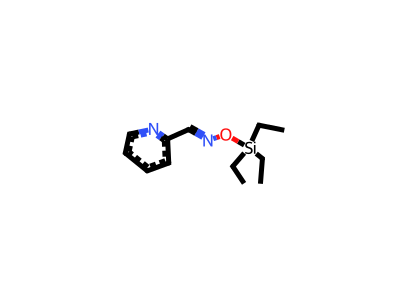 CC[Si](CC)(CC)O/N=C/c1ccccn1